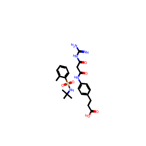 Cc1ccccc1S(=O)(=O)NC(C)(C)C.N=C(N)NC(=O)CC(=O)Nc1ccc(CCC(=O)O)cc1